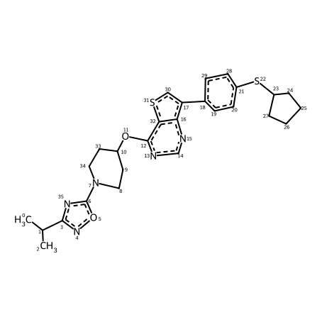 CC(C)c1noc(N2CCC(Oc3ncnc4c(-c5ccc(SC6CCCC6)cc5)csc34)CC2)n1